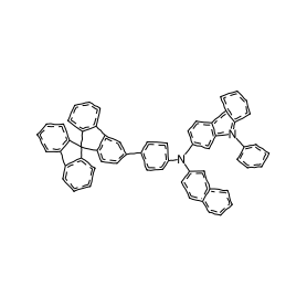 c1ccc(-n2c3ccccc3c3ccc(N(c4ccc(-c5ccc6c(c5)-c5ccccc5C65c6ccccc6-c6ccccc65)cc4)c4ccc5ccccc5c4)cc32)cc1